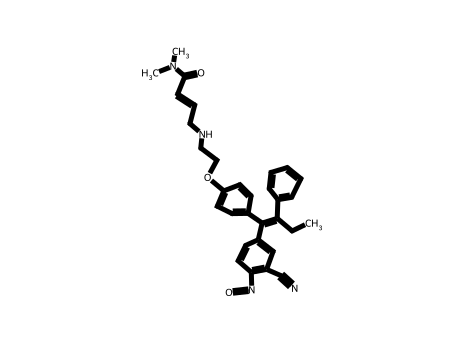 CC/C(=C(/c1ccc(OCCNC/C=C/C(=O)N(C)C)cc1)c1ccc(N=O)c(C#N)c1)c1ccccc1